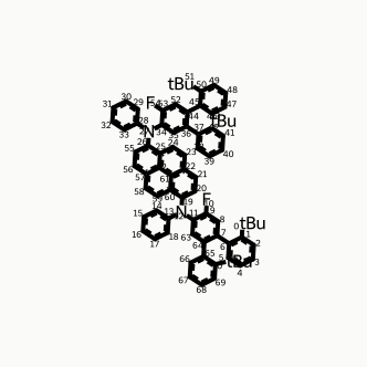 CC(C)(C)c1ccccc1-c1cc(F)c(N(c2ccccc2)c2ccc3ccc4c(N(c5ccccc5)c5cc(-c6ccccc6C(C)(C)C)c(-c6ccccc6C(C)(C)C)cc5F)ccc5ccc2c3c54)cc1-c1ccccc1C(C)(C)C